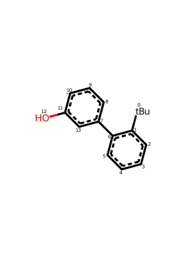 CC(C)(C)c1ccccc1-c1cc[c]c(O)c1